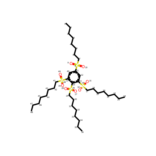 CCCCCCCCS(=O)(=O)c1cc(S(=O)(=O)CCCCCCCC)c(S(=O)(=O)CCCCCCCC)c(S(=O)(=O)CCCCCCCC)c1